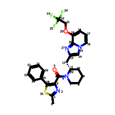 Cc1nc(C(=O)N2CCCC[C@H]2Cc2cn3cccc(OCC(F)(F)F)c3n2)c(-c2ccccc2)s1